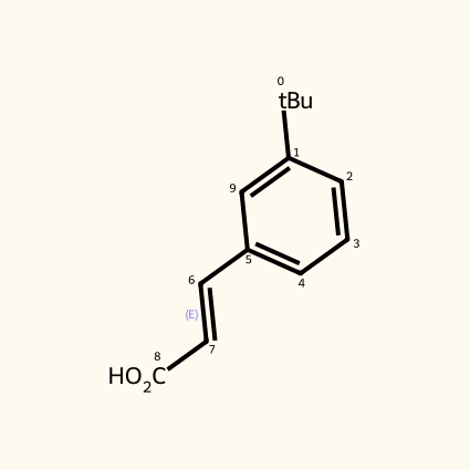 CC(C)(C)c1cccc(/C=C/C(=O)O)c1